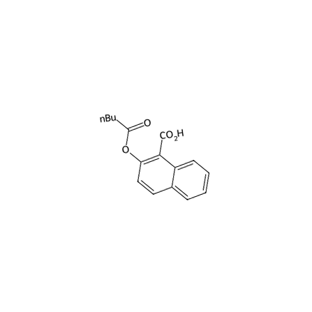 CCCCC(=O)Oc1ccc2ccccc2c1C(=O)O